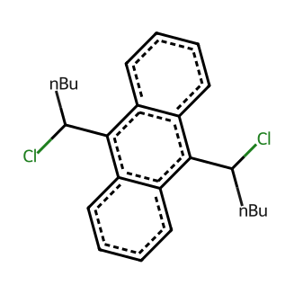 CCCCC(Cl)c1c2ccccc2c(C(Cl)CCCC)c2ccccc12